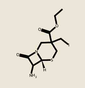 CCOC(=O)C1(CI)CS[C@@H]2C(N)C(=O)N2C1